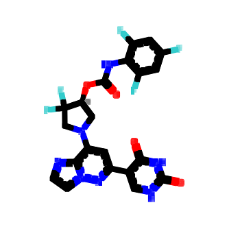 O=C(Nc1c(F)cc(F)cc1F)O[C@H]1CN(c2cc(-c3c[nH]c(=O)[nH]c3=O)nn3ccnc23)CC1(F)F